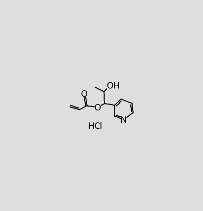 C=CC(=O)OC(c1cccnc1)C(C)O.Cl